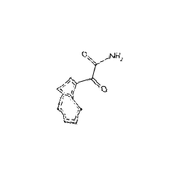 NC(=O)C(=O)c1ccc2ccccn12